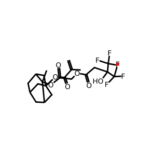 C=C(C)C(=O)OC12CC3CC(C1)C(C)(OC(=O)COC(=O)CC(O)(C(F)(F)F)C(F)(F)F)C(C3)C2